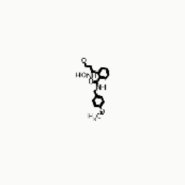 COc1ccc(CNC(=O)c2ccccc2C(=CC=O)NO)cc1